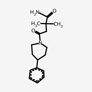 CC(C)(CC(=O)N1CCC(c2ccccc2)CC1)C(N)=O